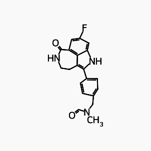 CN(C=O)Cc1ccc(-c2[nH]c3cc(F)cc4c3c2CCNC4=O)cc1